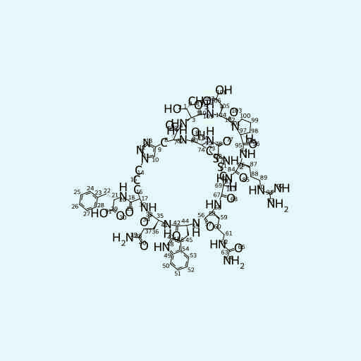 C[C@@H](O)[C@@H]1NC(=O)[C@@H]2Cc3cn(nn3)CCCC(C(=O)N[C@@H](Cc3ccccc3)C(=O)O)NC(=O)[C@H](CCC(N)=O)NC(=O)[C@H](Cc3c[nH]c4ccccc34)NC(=O)[C@H](CCCNC(N)=O)NC(=O)[C@H](CSSC[C@H](NC(=O)CN)C(=O)N2)NC(=O)[C@H](CCCNC(=N)N)NC(=O)[C@@H]2CCCN2C(=O)[C@H](CC(=O)O)NC1=O